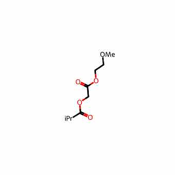 COCCOC(=O)COC(=O)C(C)C